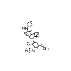 COc1cc(OC)c(Cl)c(-c2cc3cnc(NC4CCOCC4)nc3n3cnnc23)c1